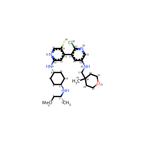 COC[C@@H](C)N[C@H]1CC[C@H](Nc2cc(-c3cc(NCC4(C)CCOCC4)cnc3Cl)c(F)cn2)CC1